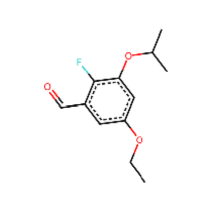 CCOc1cc(C=O)c(F)c(OC(C)C)c1